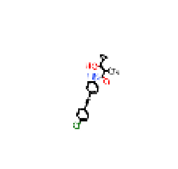 N#CC(C(=O)Nc1ccc(C#Cc2ccc(Cl)cc2)cc1)=C(O)C1CC1